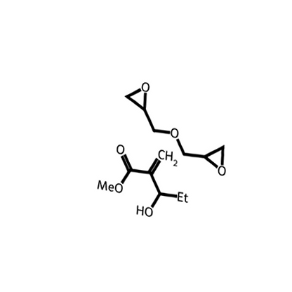 C(OCC1CO1)C1CO1.C=C(C(=O)OC)C(O)CC